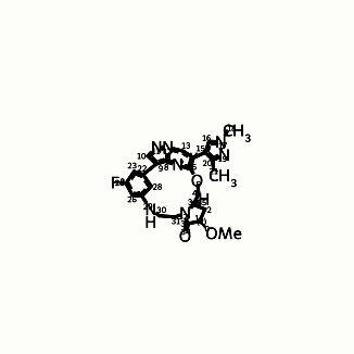 CO[C@@H]1C[C@H]2COc3nc4c(cnn4cc3-c3cn(C)nc3C)-c3cc(F)cc(c3)NCCN2C1=O